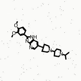 COc1ccc(-c2nc3ncc(C4CCN(C5CCN(C(C)C)CC5)CC4)cc3[nH]2)cc1OC